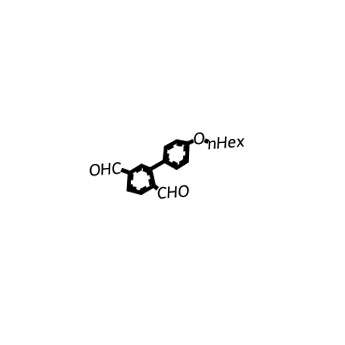 CCCCCCOc1ccc(-c2cc(C=O)ccc2C=O)cc1